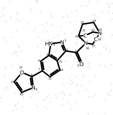 O=C(c1n[nH]c2cc(-c3ncco3)ccc12)N1CCN2CCC1CC2